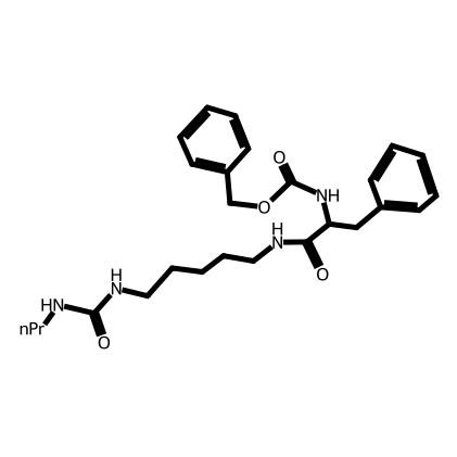 CCCNC(=O)NCCCCCNC(=O)C(Cc1ccccc1)NC(=O)OCc1ccccc1